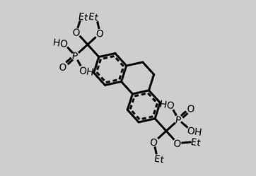 CCOC(OCC)(c1ccc2c(c1)CCc1cc(C(OCC)(OCC)P(=O)(O)O)ccc1-2)P(=O)(O)O